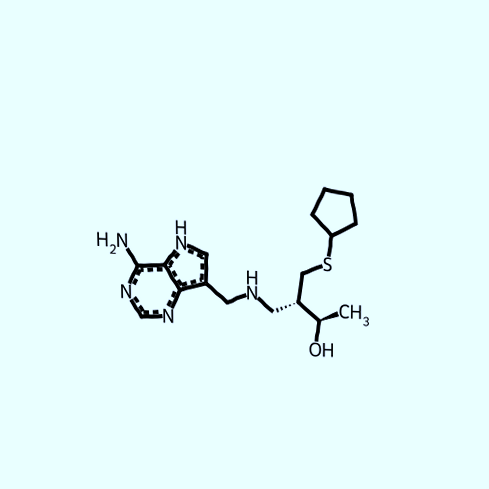 C[C@@H](O)[C@H](CNCc1c[nH]c2c(N)ncnc12)CSC1CCCC1